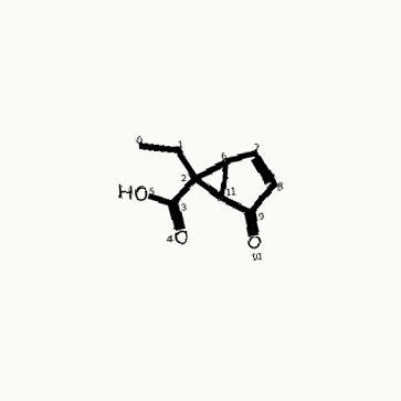 CCC1(C(=O)O)C2C=CC(=O)C21